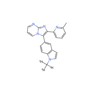 [2H]C([2H])([2H])n1ccc2cc(-c3c(-c4cccc(C)n4)nc4ncccn34)ccc21